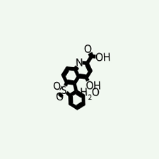 O.O=C(O)c1cc(O)c2c3c(ccc2n1)S(=O)(=O)c1ccccc1-3